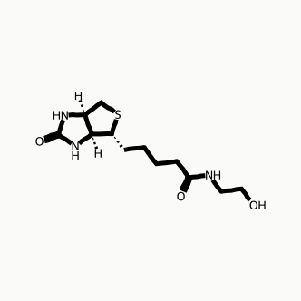 O=C(CCCC[C@H]1SC[C@@H]2NC(=O)N[C@@H]21)NCCO